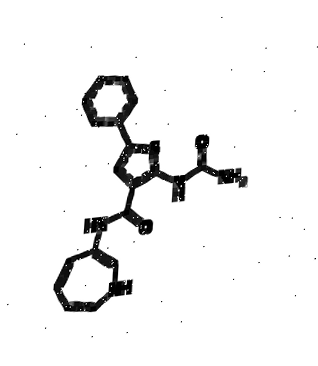 NC(=O)Nc1sc(-c2ccccc2)cc1C(=O)NC1=CNC=CC=C1